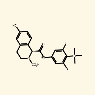 C[Si](C)(C)c1c(F)cc(NC(=O)[C@@H]2c3ccc(C#N)cc3CCN2C(=O)O)cc1F